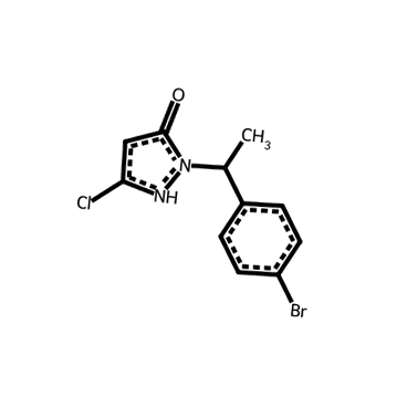 CC(c1ccc(Br)cc1)n1[nH]c(Cl)cc1=O